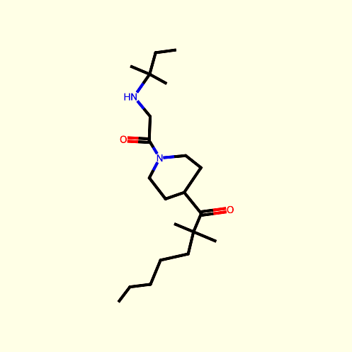 CCCCCC(C)(C)C(=O)C1CCN(C(=O)CNC(C)(C)CC)CC1